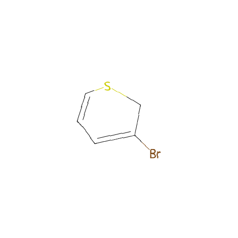 BrC1=CC=CSC1